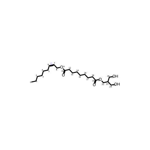 CCCCCC/C=C\COC(=O)CCCCCCCC(=O)OCC(CO)CO